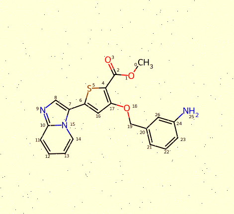 COC(=O)c1sc(-c2cnc3ccccn23)cc1OCc1cccc(N)c1